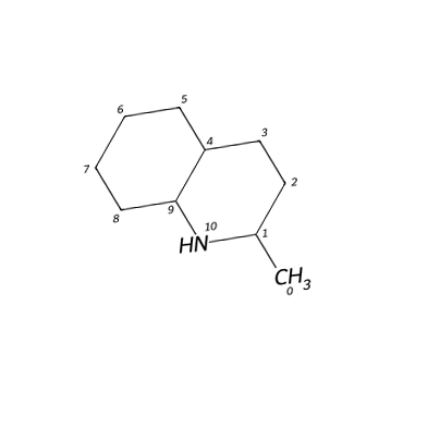 CC1CCC2CCCCC2N1